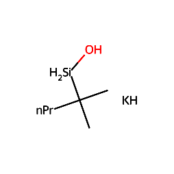 CCCC(C)(C)[SiH2]O.[KH]